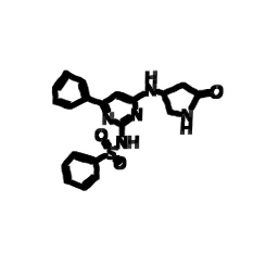 O=C1CC(Nc2cc(-c3ccccc3)nc(NS(=O)(=O)c3ccccc3)n2)CN1